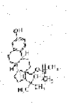 C[SiH](C)OC[C@]12CC[C@@H]3c4ccc(O)cc4CC[C@H]3[C@@H]1CCC2C(C)(C)C